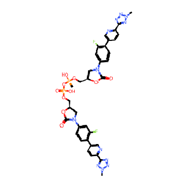 C=P(O)(OC[C@H]1CN(c2ccc(-c3ccc(-c4nnn(C)n4)nc3)c(F)c2)C(=O)O1)OP(=O)(O)OC[C@H]1CN(c2ccc(-c3ccc(-c4nnn(C)n4)nc3)c(F)c2)C(=O)O1